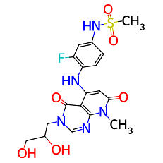 Cn1c(=O)cc(Nc2ccc(NS(C)(=O)=O)cc2F)c2c(=O)n(CC(O)CO)cnc21